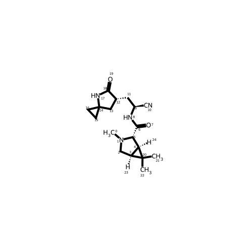 CN1C[C@H]2[C@@H]([C@H]1C(=O)N[C@H](C#N)C[C@@H]1CC3(CC3)NC1=O)C2(C)C